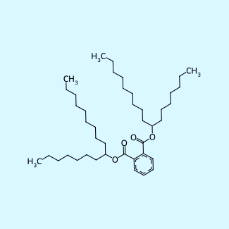 CCCCCCCCCC(CCCCCCC)OC(=O)c1ccccc1C(=O)OC(CCCCCCC)CCCCCCCCC